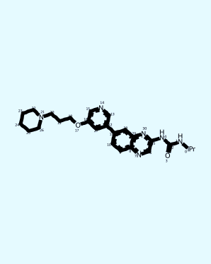 CC(C)NC(=O)Nc1cnc2ccc(-c3cncc(OCCCN4CCCCC4)c3)cc2n1